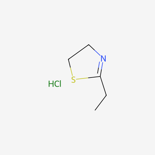 CCC1=NCCS1.Cl